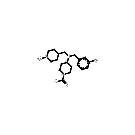 CN1CCC(CN(Cc2cccc(O)c2)C2CCN(C(=O)O)CC2)CC1